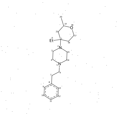 CCC1(N2CCN(CCc3ccccc3)CC2)CCOC(C)C1